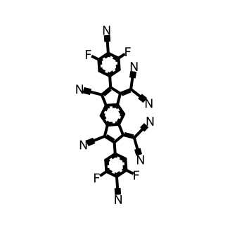 N#CC(C#N)=C1C(c2cc(F)c(C#N)c(F)c2)=C(C#N)c2cc3c(cc21)C(=C(C#N)C#N)C(c1cc(F)c(C#N)c(F)c1)=C3C#N